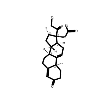 CCC(=O)O[C@]1(C(=O)CCl)[C@@H](C)C[C@H]2[C@@H]3CCC4=CC(=O)CC[C@]4(C)C3=CC[C@@]21C